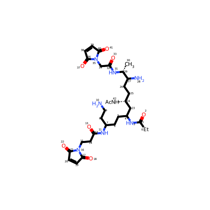 CCC(=O)NC(CCC(CCN)NC(=O)CCN1C(=O)C=CC1=O)C[C@@H](CCC(N)[C@@H](C)NC(=O)CN1C(=O)C=CC1=O)NC(C)=O